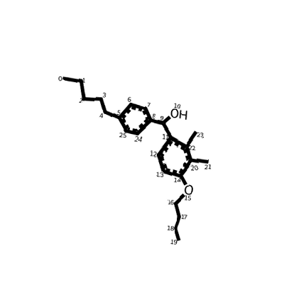 CCCCCc1ccc(C(O)c2ccc(OCCCC)c(C)c2C)cc1